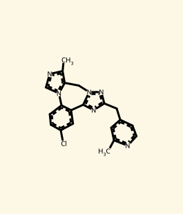 Cc1cc(Cc2nc3n(n2)Cc2c(C)ncn2-c2ccc(Cl)cc2-3)ccn1